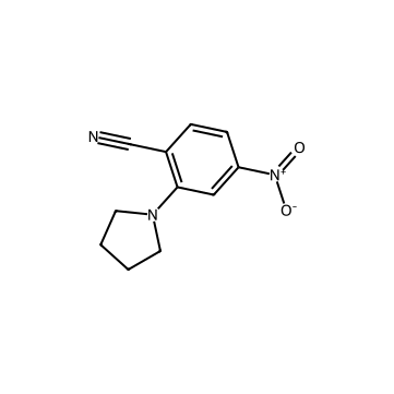 N#Cc1ccc([N+](=O)[O-])cc1N1CCCC1